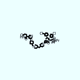 CC(C)[C@H](CS(=O)(=O)C(C)C)N1C(=O)[C@@]2(C=C(N3CCC(CC4CCN(CC5CCN(c6cncc(C7CCC(=O)NC7=O)c6)CC5)CC4)CC3)C2)C[C@@H](c2cccc(Cl)c2)[C@@H]1c1ccc(Cl)cc1